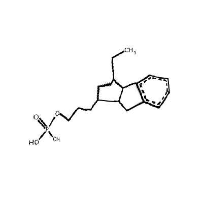 CCC1CC(CCCOP(=O)(O)O)C2Cc3ccccc3C12